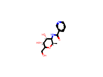 C[C@H]1OC(CO)[C@H](O)[C@H](O)C1NC(=O)c1cccnc1